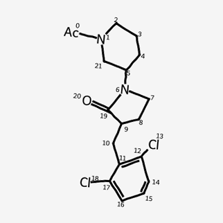 CC(=O)N1CCCC(N2CCC(Cc3c(Cl)cccc3Cl)C2=O)C1